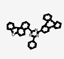 c1ccc(-c2nc(-c3ccc4c5ccccc5c5ccccc5c4c3)nc(-c3cccc4c3ccc3oc5ccccc5c34)n2)cc1